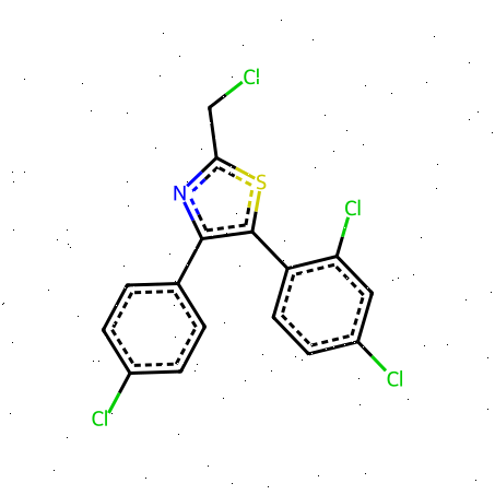 ClCc1nc(-c2ccc(Cl)cc2)c(-c2ccc(Cl)cc2Cl)s1